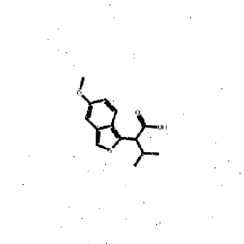 COc1ccc2c(C(C(=O)O)C(C)C)scc2c1